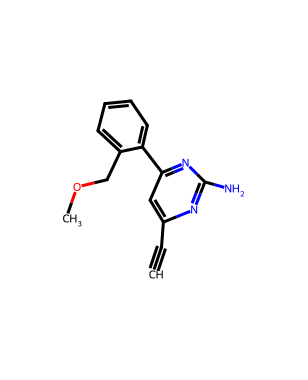 C#Cc1cc(-c2ccccc2COC)nc(N)n1